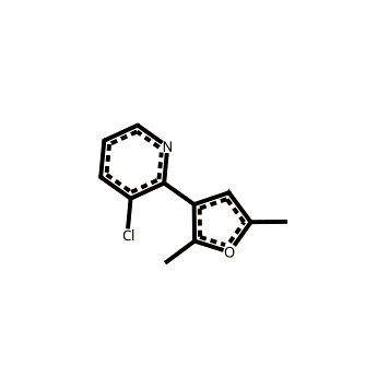 Cc1[c]c(-c2ncccc2Cl)c(C)o1